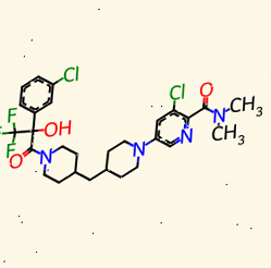 CN(C)C(=O)c1ncc(N2CCC(CC3CCN(C(=O)C(O)(c4cccc(Cl)c4)C(F)(F)F)CC3)CC2)cc1Cl